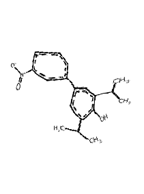 CC(C)c1cc(-c2cccc([N+](=O)[O-])c2)cc(C(C)C)c1O